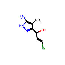 Nc1[nH]nc(C(O)C=CBr)c1[N+](=O)[O-]